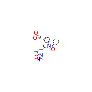 C=C(CCC(=C)c1nc(C)no1)CN(C(=O)C1CCCCC1)c1cccc(/C=C/C(=O)OC)c1